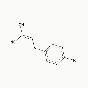 N#CC(C#N)=CCc1ccc(Br)cc1